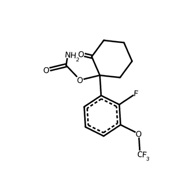 NC(=O)OC1(c2cccc(OC(F)(F)F)c2F)CCCCC1=O